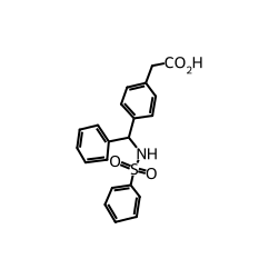 O=C(O)Cc1ccc(C(NS(=O)(=O)c2ccccc2)c2ccccc2)cc1